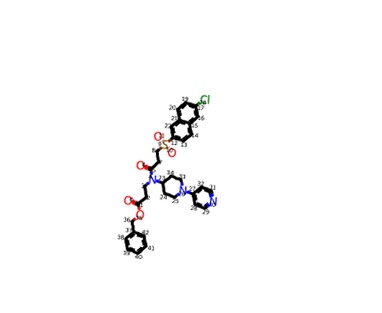 O=C(CCN(C(=O)CCS(=O)(=O)c1ccc2cc(Cl)ccc2c1)C1CCN(c2ccncc2)CC1)OCc1ccccc1